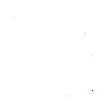 C/C=C/C=C1\C=Cc2c(C(=O)OC)coc(=O)c21